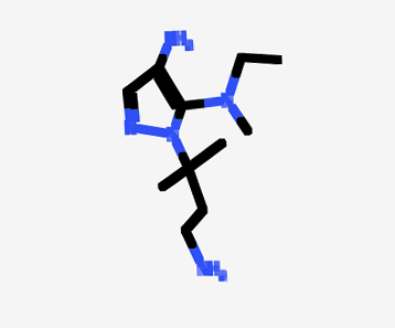 CCN(C)c1c(N)cnn1C(C)(C)CCN